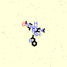 CC(=O)N1CCN(C2=NC(NCc3cnc4ccccc4c3)=C3CN(C(C)C)C=C3N2)C(C)C1